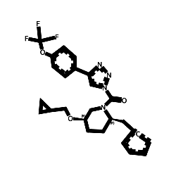 O=C(N1C[C@H](OCC2CC2)CC[C@@H]1Cc1ccccc1)n1cc(-c2ccc(OC(F)(F)F)cc2)nn1